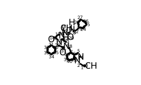 C#CCn1ncc2c(CN3C[C@H]4N(C(=O)CN4N(C)C(=O)NCc4ccccc4)[C@@H](c4ccccc4)C3=O)cccc21